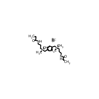 C=CC(=O)NCCC[N+](C)(C)Cc1ccc(C[N+](C)(C)CCCNC(=O)C=C)cc1.[Br-].[Br-]